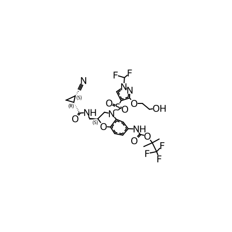 CC(C)(OC(=O)Nc1ccc2c(c1)N(S(=O)(=O)c1cn(C(F)F)nc1OCCO)C[C@H](CNC(=O)[C@@H]1C[C@@H]1C#N)O2)C(F)(F)F